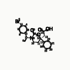 C[C@@H](c1ccc(Br)cc1)N1CC[C@](CC(=O)O)(c2ccccc2)OC1=O